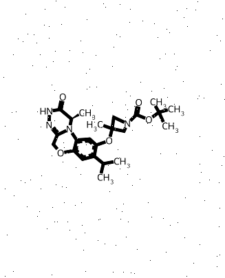 CC(C)c1cc2c(cc1OC1(C)CN(C(=O)OC(C)(C)C)C1)N1C(=NNC(=O)[C@H]1C)CO2